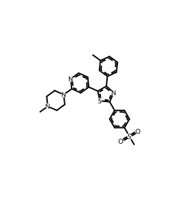 Cc1cccc(-c2nc(-c3ccc(S(C)(=O)=O)cc3)sc2-c2ccnc(N3CCN(C)CC3)c2)c1